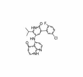 CC(C)c1[nH]c(=O)c(-c2cc(Cl)ccc2F)cc1Nc1ccnc2[nH]ccc(=O)c12